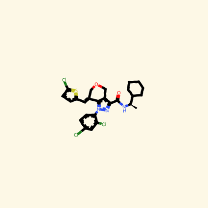 C[C@@H](NC(=O)c1nn(-c2ccc(Cl)cc2Cl)c2c1COC/C2=C\c1ccc(Cl)s1)C1CCCCC1